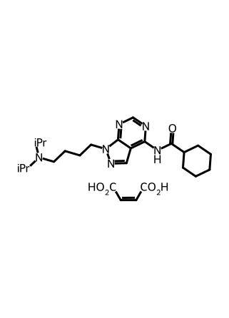 CC(C)N(CCCCn1ncc2c(NC(=O)C3CCCCC3)ncnc21)C(C)C.O=C(O)/C=C\C(=O)O